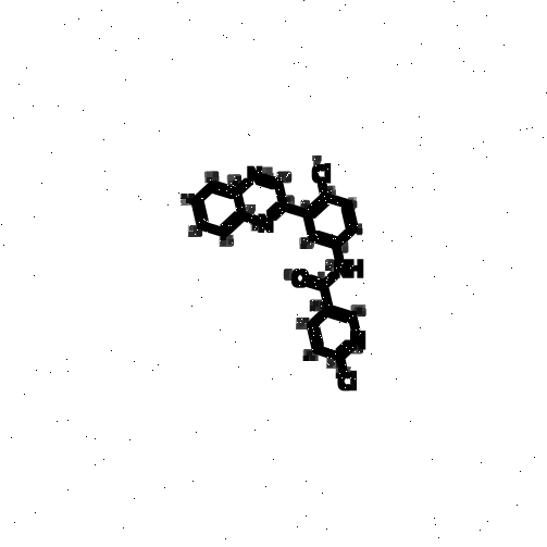 O=C(Nc1ccc(Cl)c(-c2cnc3ccccc3n2)c1)c1ccc(Cl)nc1